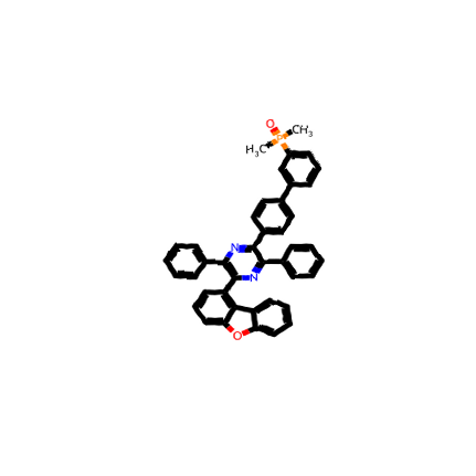 CP(C)(=O)c1cccc(-c2ccc(-c3nc(-c4ccccc4)c(-c4cccc5oc6ccccc6c45)nc3-c3ccccc3)cc2)c1